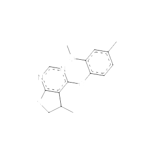 COc1cc(C)ccc1Oc1ncnc2c1C(C)CS2